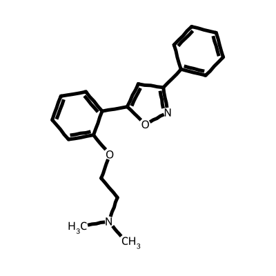 CN(C)CCOc1ccccc1-c1cc(-c2ccccc2)no1